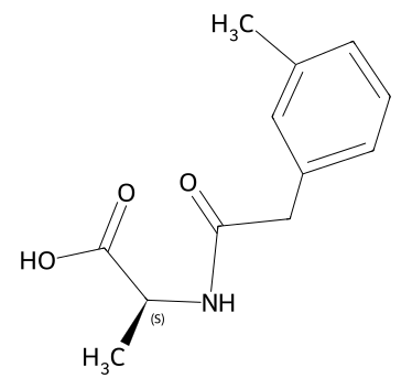 Cc1cccc(CC(=O)N[C@@H](C)C(=O)O)c1